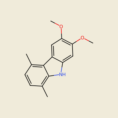 COc1cc2[nH]c3c(C)ccc(C)c3c2cc1OC